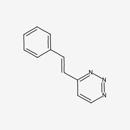 C(=Cc1ccnnn1)c1ccccc1